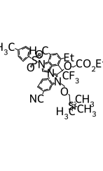 CCOC(=O)COC(c1c(CC)cc(C)c2c1ccn2S(=O)(=O)c1ccc(C)cc1)(c1nc2ccc(C#N)cc2n1COCC[Si](C)(C)C)C(F)(F)F